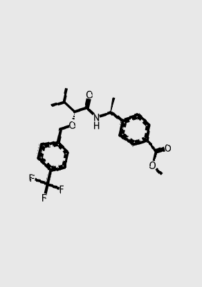 COC(=O)c1ccc([C@H](C)NC(=O)[C@H](OCc2ccc(C(F)(F)F)cc2)C(C)C)cc1